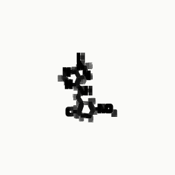 O=[N+]([O-])c1ccc(Cl)c(CNc2ncnc3[nH]cnc23)c1